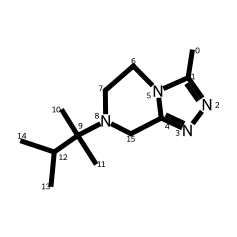 Cc1nnc2n1CCN(C(C)(C)C(C)C)C2